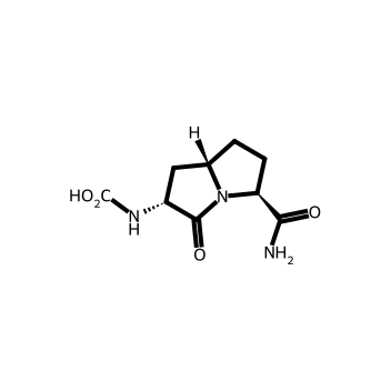 NC(=O)[C@@H]1CC[C@H]2C[C@@H](NC(=O)O)C(=O)N21